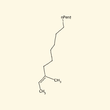 C/C=C(\C)CCCCCCCCCCC